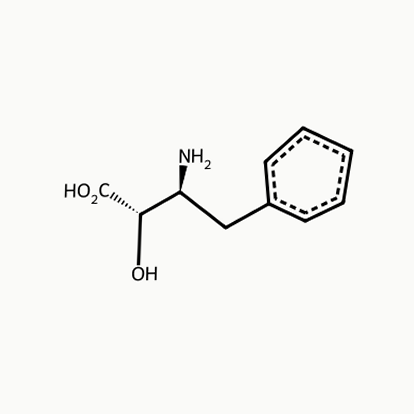 N[C@@H](Cc1ccccc1)[C@H](O)C(=O)O